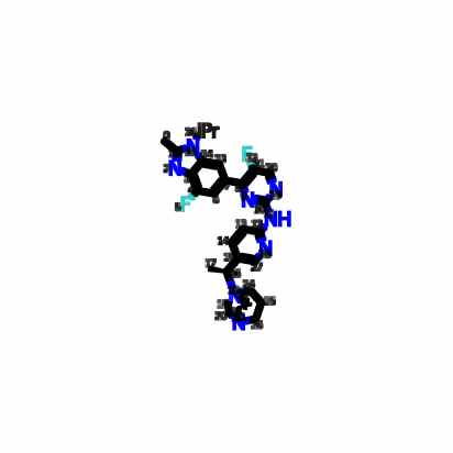 Cc1nc2c(F)cc(-c3nc(Nc4ccc([C@H](C)N5CCN6CCC5CC6)cn4)ncc3F)cc2n1C(C)C